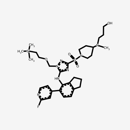 CN(CCCO)C1CCN(S(=O)(=O)c2nc(Nc3c(-c4ccnc(F)c4)ccc4c3CCC4)n(COCC[Si](C)(C)C)n2)CC1